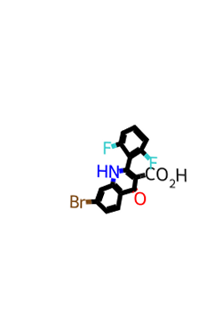 O=C(O)c1c(-c2c(F)cccc2F)[nH]c2cc(Br)ccc2c1=O